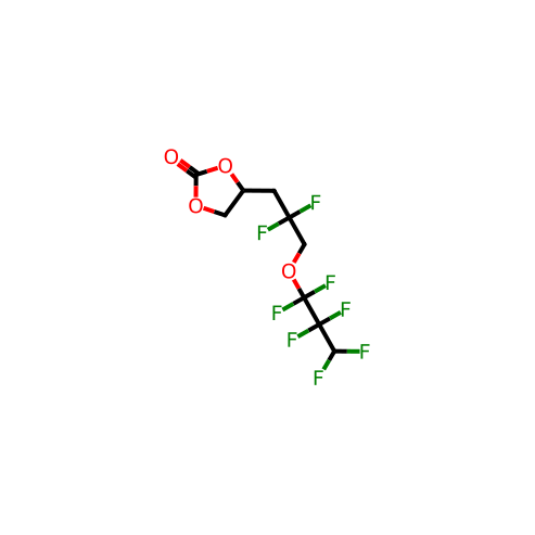 O=C1OCC(CC(F)(F)COC(F)(F)C(F)(F)C(F)F)O1